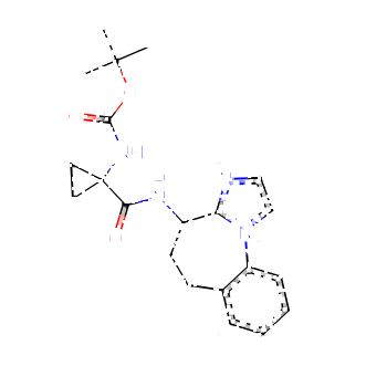 CC(C)(C)OC(=O)NC1(C(=O)NC2CCc3ccccc3-n3ccnc32)CC1